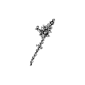 C#CCOCCOCCOCCOCCC(=O)NCCOCCOCCO[C@]1(C(=O)OC)C[C@H](OC(C)=O)[C@@H](NC(=O)COC(C)=O)[C@H]([C@H](OC(C)=O)[C@@H](CNC(=O)Cc2ccc(Cl)cc2)OC(C)=O)O1